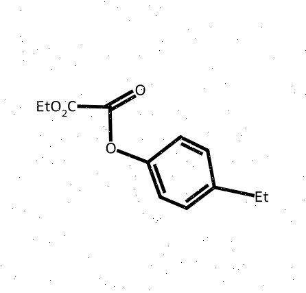 CCOC(=O)C(=O)Oc1ccc(CC)cc1